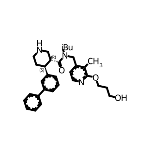 CCC(C)N(Cc1ccnc(OCCCO)c1C)C(=O)[C@H]1CNCC[C@@H]1c1cccc(-c2ccccc2)c1